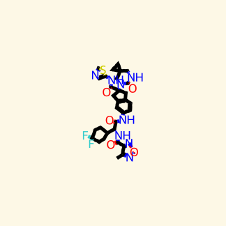 Cc1nonc1C(=O)N[C@H](C(=O)Nc1ccc2c(c1)CC(C(=O)Nc1cncs1)(N1CC3(CC3)CNC1=O)C2)C1CCC(F)(F)CC1